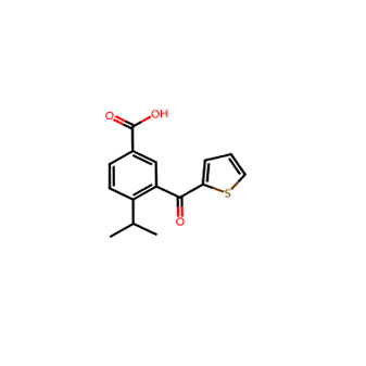 CC(C)c1ccc(C(=O)O)cc1C(=O)c1cccs1